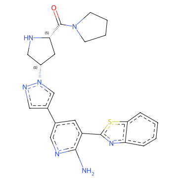 Nc1ncc(-c2cnn([C@@H]3CN[C@H](C(=O)N4CCCC4)C3)c2)cc1-c1nc2ccccc2s1